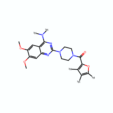 [2H]c1oc(C(=O)N2CCN(c3nc(N([2H])[2H])c4cc(OC)c(OC)cc4n3)CC2)c([2H])c1[2H]